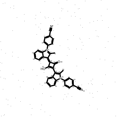 CC1=[N+](c2ccc(C#N)cc2)c2ccccc2/C1=C1/C(=O)C(c2c(C)n(-c3ccc(C#N)cc3)c3ccccc23)=C1O